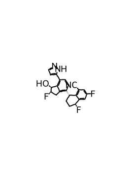 N#Cc1cc(F)cc2c1[C@@H](c1ccc(-c3ccn[nH]3)c3c1C[C@@H](F)[C@H]3O)CC[C@@H]2F